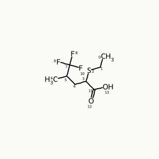 CCSC(CC(C)C(F)(F)F)C(=O)O